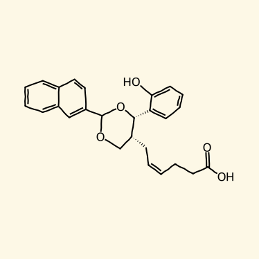 O=C(O)CC/C=C\C[C@@H]1COC(c2ccc3ccccc3c2)O[C@@H]1c1ccccc1O